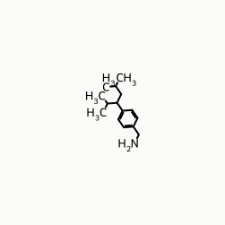 CC(C)CC(c1ccc(CN)cc1)C(C)C